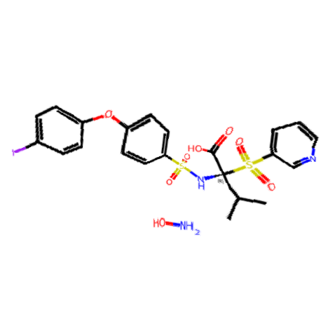 CC(C)[C@](NS(=O)(=O)c1ccc(Oc2ccc(I)cc2)cc1)(C(=O)O)S(=O)(=O)c1cccnc1.NO